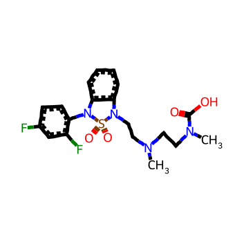 CN(CCN(C)C(=O)O)CCN1c2ccccc2N(c2ccc(F)cc2F)S1(=O)=O